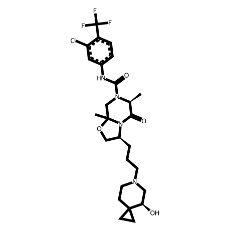 C[C@H]1C(=O)N2[C@@H](CCCN3CCC4(CC4)[C@H](O)C3)COC2(C)CN1C(=O)Nc1ccc(C(F)(F)F)c(Cl)c1